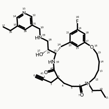 C#CCC1CCC(=O)N(CCC)CCCCOc2cc(F)cc(c2)C[C@@H]([C@H](O)CNCc2cncc(CC)c2)NC1=O